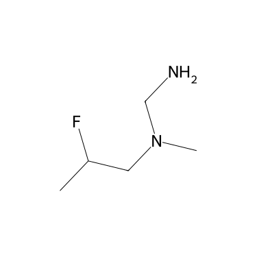 CC(F)CN(C)CN